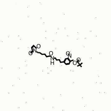 CC(C)(C)C(=O)OCc1ccc(CCCCNC(=O)CCCCCN2C(=O)C=CC2=O)cc1N=O